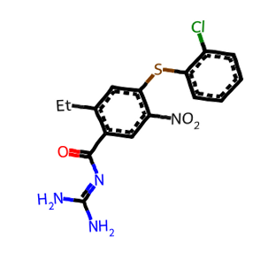 CCc1cc(Sc2ccccc2Cl)c([N+](=O)[O-])cc1C(=O)N=C(N)N